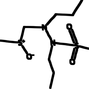 CCCN(C[S+](C)[O-])N(CCC)S(C)(=O)=O